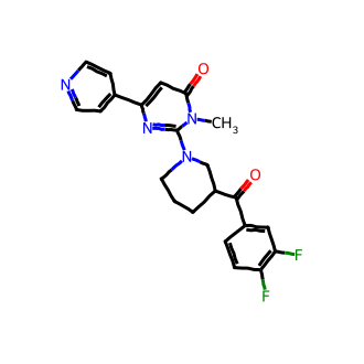 Cn1c(N2CCCC(C(=O)c3ccc(F)c(F)c3)C2)nc(-c2ccncc2)cc1=O